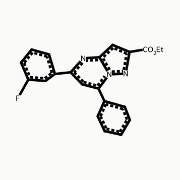 CCOC(=O)c1cc2nc(-c3cccc(F)c3)cc(-c3ccccc3)n2n1